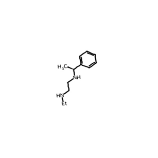 CCNCCN[C@@H](C)c1ccccc1